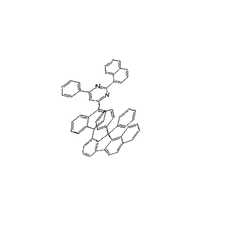 c1ccc(-c2cc(-c3ccc(-c4cccc5c4C(c4ccccc4)(c4ccccc4)c4c-5ccc5ccccc45)c4ccccc34)nc(-c3cccc4ccccc34)n2)cc1